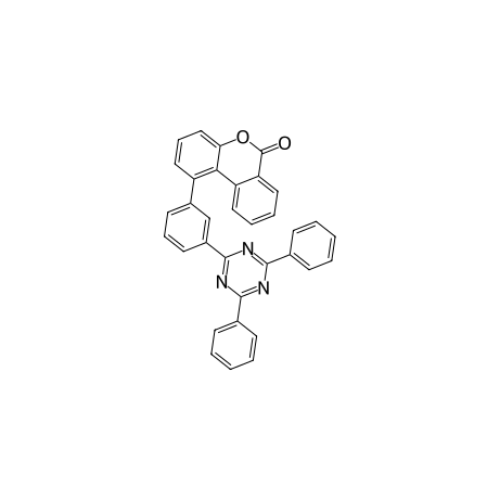 O=c1oc2cccc(-c3cccc(-c4nc(-c5ccccc5)nc(-c5ccccc5)n4)c3)c2c2ccccc12